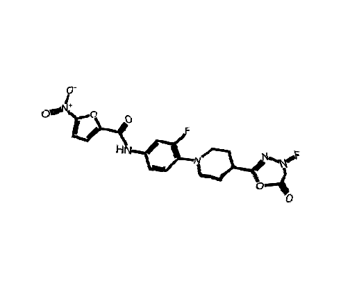 O=C(Nc1ccc(N2CCC(c3nn(F)c(=O)o3)CC2)c(F)c1)c1ccc([N+](=O)[O-])o1